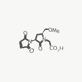 COC[C@@H]1C[C@H](N2C(=O)C=CC2=O)C(=O)N1CC(=O)O